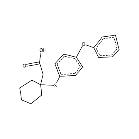 O=C(O)CC1(Sc2ccc(Oc3ccccc3)cc2)CCCCC1